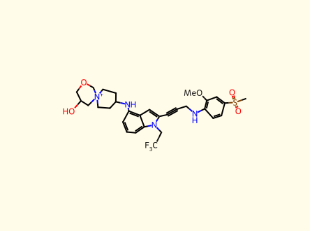 COc1cc(S(C)(=O)=O)ccc1NCC#Cc1cc2c(NC3CC[N+]4(CC3)COCC(O)C4)cccc2n1CC(F)(F)F